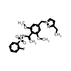 C=C(NS(=O)(=O)c1ccccc1F)c1c(OC)cc(Cn2ccc(CC)n2)cc1OC